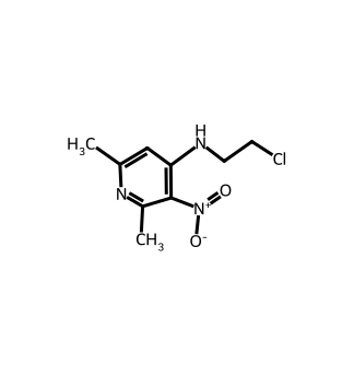 Cc1cc(NCCCl)c([N+](=O)[O-])c(C)n1